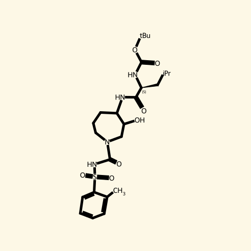 Cc1ccccc1S(=O)(=O)NC(=O)N1CCCC(NC(=O)[C@H](CC(C)C)NC(=O)OC(C)(C)C)C(O)C1